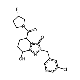 O=C([C@@H]1CCC(O)c2nn(Cc3cncc(Cl)c3)c(=O)n21)N1CC[C@H](F)C1